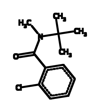 CN(C(=O)c1ccccc1Cl)C(C)(C)C